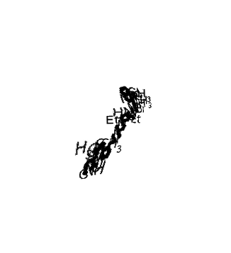 CCOc1cc(N2CCC(N3CCN(CCc4cccc5c4C(C)(C)C(=O)N5C4CCC(=O)NC4=O)CC3)CC2)c(CC)cc1Nc1ncc(Br)c(Nc2cnc3ccccc3c2P(C)(C)=O)n1